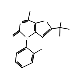 O=c1nc(Cl)c2sc(C(F)(F)F)cc2n1-c1ccccc1Cl